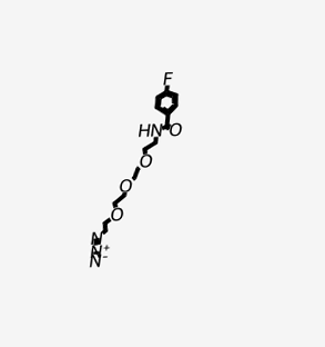 [N-]=[N+]=NCCOCCOCCOCCNC(=O)c1ccc(F)cc1